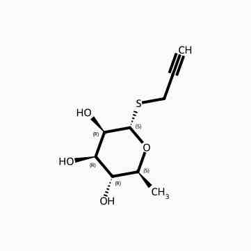 C#CCS[C@@H]1O[C@@H](C)[C@H](O)[C@@H](O)[C@H]1O